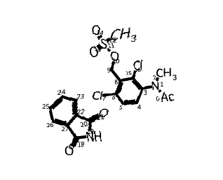 CC(=O)N(C)c1ccc(Cl)c(COS(C)(=O)=O)c1Cl.O=C1NC(=O)c2ccccc21